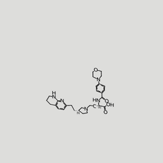 O=C(N[C@@H](CCN1CC[C@H](CCc2ccc3c(n2)NCCC3)C1)C(=O)O)c1ccc(N2CCOCC2)cc1